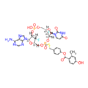 Cc1cc(O)ccc1C(=O)Oc1ccc(CS[P@@]2(=O)OC[C@H]3O[C@@H](n4cnc5c(N)ncnc54)[C@H](OP(=O)(O)OC[C@H]4O[C@@H](n5ccc(=O)[nH]c5=O)[C@H](O2)[C@@H]4F)[C@@H]3F)cc1